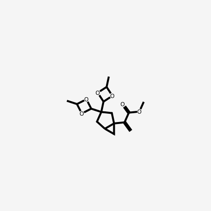 C=C(C(=O)OC)C12CC1CC(C1OC(C)O1)(C1OC(C)O1)C2